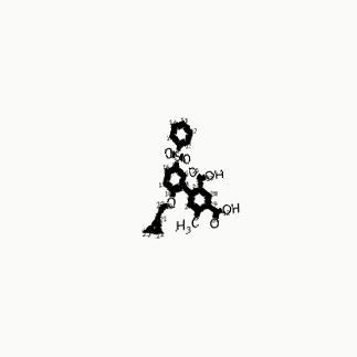 Cc1cc(-c2cc(S(=O)(=O)c3ccccc3)ccc2OCC2CC2)c(C(=O)O)cc1C(=O)O